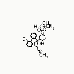 COCCCC[C@@](O)(c1ccccc1-c1ccccc1Cl)C1CCCN(C(=O)OC(C)(C)C)C1